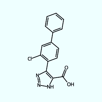 O=C(O)c1[nH]nnc1-c1ccc(-c2ccccc2)cc1Cl